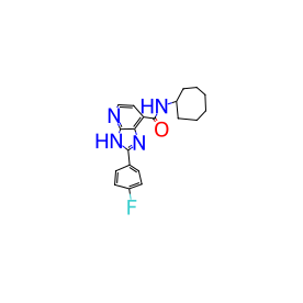 O=C(NC1CCCCCC1)c1ccnc2[nH]c(-c3ccc(F)cc3)nc12